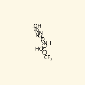 CC1CC(O)(c2ccc(C(F)(F)F)cc2)CC(COc2cnc(N3CC(C)(O)C3)nc2)N1